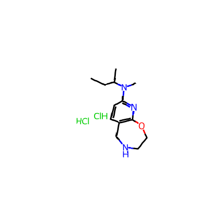 CCC(C)N(C)c1ccc2c(n1)OCCNC2.Cl.Cl